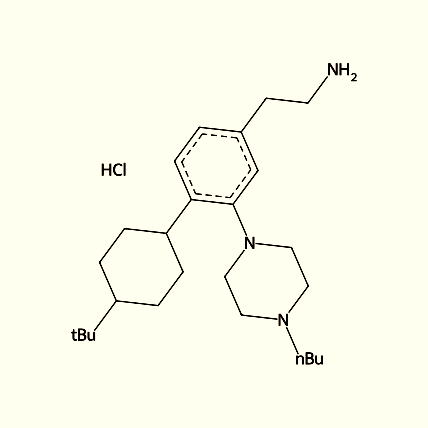 CCCCN1CCN(c2cc(CCN)ccc2C2CCC(C(C)(C)C)CC2)CC1.Cl